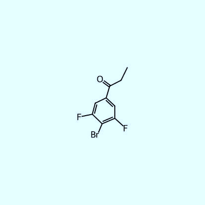 CCC(=O)c1cc(F)c(Br)c(F)c1